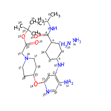 CC(C)NC(=O)C1CCC(Nc2cc(OC3CCN(CC(=O)OC(C)(C)C)CC3)ncc2N)CC1.N.N